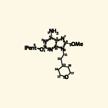 CCC[C@H](C)Oc1nc(N)c2nc(OC)n(CCC3CCOCC3)c2n1